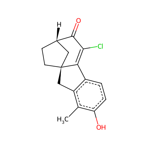 Cc1c(O)ccc2c1C[C@@]13CC[C@@H](C1)C(=O)C(Cl)=C23